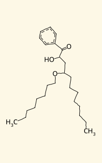 CCCCCCCCOC(CCCCCCCC)CC(O)C(=O)c1ccccc1